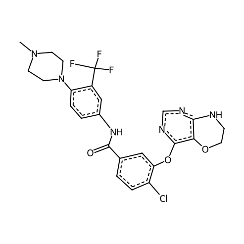 CN1CCN(c2ccc(NC(=O)c3ccc(Cl)c(Oc4ncnc5c4OCCN5)c3)cc2C(F)(F)F)CC1